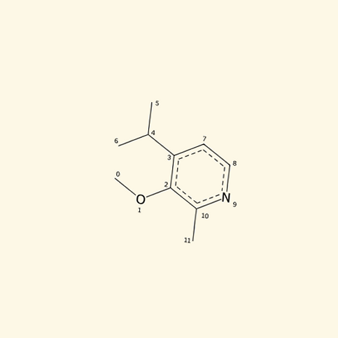 COc1c(C(C)C)ccnc1C